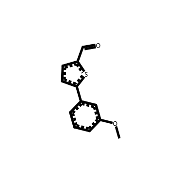 COc1cccc(-c2ccc(C=O)s2)c1